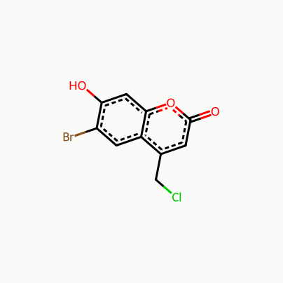 O=c1cc(CCl)c2cc(Br)c(O)cc2o1